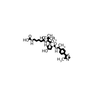 Cc1ncsc1-c1ccc([C@H](C)NC(=O)[C@@H]2C[C@@H](O)CN2C(=O)[C@@H](NC(=O)CCCCNC(=O)O)C(C)(C)C)cc1